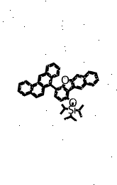 CC(C)[Si](Oc1ccc(-c2c3ccccc3cc3c2ccc2ccccc23)c2oc3cc4ccccc4cc3c12)(C(C)C)C(C)C